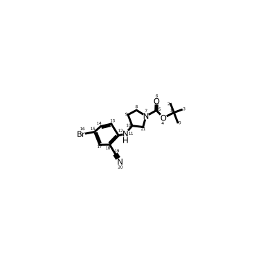 CC(C)(C)OC(=O)N1CCC(Nc2ccc(Br)cc2C#N)C1